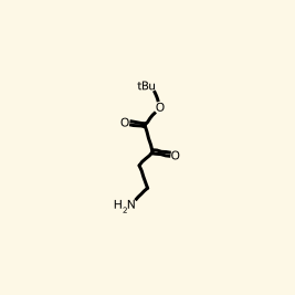 CC(C)(C)OC(=O)C(=O)CCN